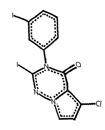 O=c1c2c(Cl)ccn2nc(I)n1-c1cccc(I)c1